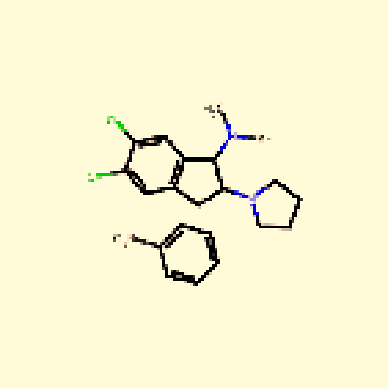 CC(=O)N(C)C1c2cc(Cl)c(Cl)cc2CC1N1CCCC1.O=[N+]([O-])c1ccccc1